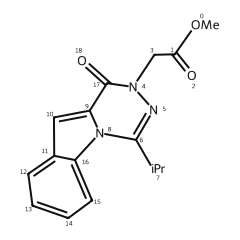 COC(=O)Cn1nc(C(C)C)n2c(cc3ccccc32)c1=O